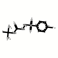 CC(NC(=O)NNS(=O)(=O)c1ccc(F)cc1)(C(F)(F)F)C(F)(F)F